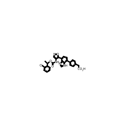 CC(OC(=O)Nc1cnoc1-c1ccc(-c2ccc(CC(=O)O)cc2)c2[nH]cnc12)c1ccccc1Cl